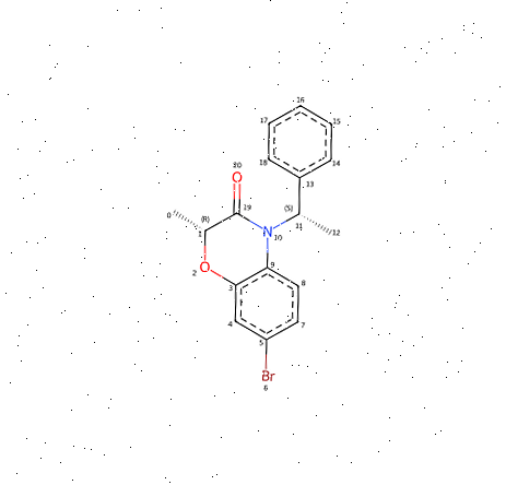 C[C@H]1Oc2cc(Br)ccc2N([C@@H](C)c2ccccc2)C1=O